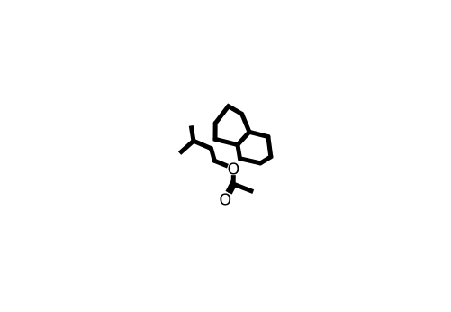 C1CCC2CCCCC2C1.CC(=O)OCCC(C)C